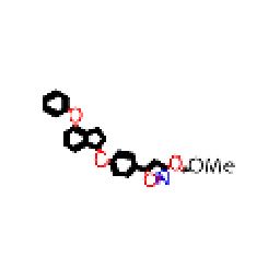 COCOc1cc(-c2ccc(OC3CCc4c(Oc5ccccc5)cccc43)cc2)on1